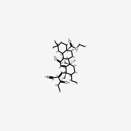 CCOC(=O)[C@]12CCC(C)(C)CC1C1C(=O)C=C3[C@@](C)(/C=C(/C#N)C(=O)CC)C(CC)CC[C@@]3(C)[C@]1(C)CC2